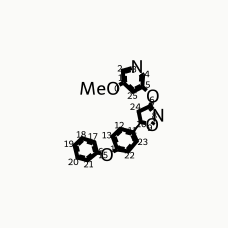 COc1cncc(OC2=NO[C@@H](c3ccc(Oc4ccccc4)cc3)C2)c1